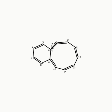 [C]1=CC=CC23C=CC=C/C2=C/C=C\C=C/C=C/13